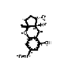 CCCCCc1cc(O)c2c(c1)OC1(C)CC[C@H](CC)[C@@H]1C2